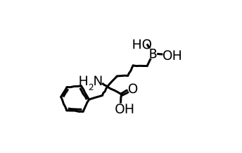 NC(CCCCB(O)O)(Cc1ccccc1)C(=O)O